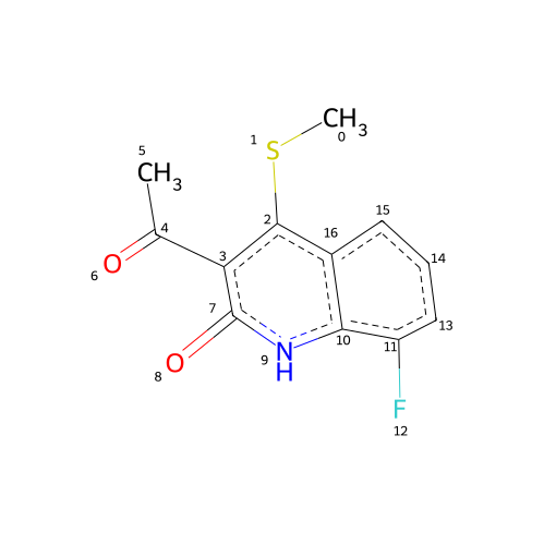 CSc1c(C(C)=O)c(=O)[nH]c2c(F)cccc12